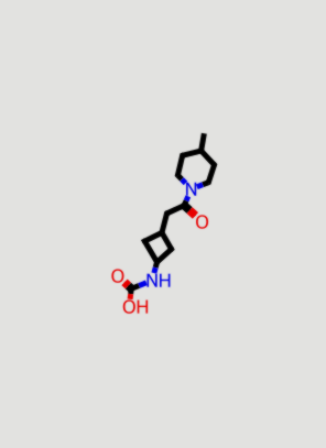 CC1CCN(C(=O)CC2CC(NC(=O)O)C2)CC1